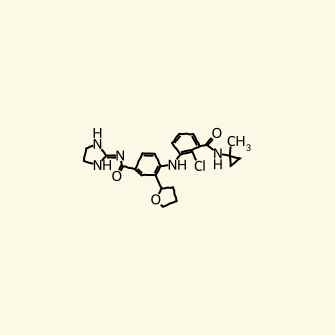 CC1(NC(=O)c2cccc(Nc3ccc(C(=O)N=C4NCCN4)cc3C3CCCO3)c2Cl)CC1